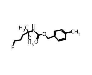 Cc1ccc(COC(=O)NC(C)(C)CCCF)cc1